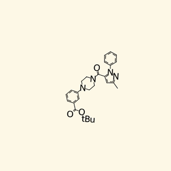 Cc1cc(C(=O)N2CCN(c3cccc(C(=O)OC(C)(C)C)c3)CC2)n(-c2ccccc2)n1